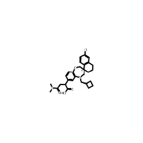 CN(C)C(=O)CC(C(=O)O)c1ccc2c(c1)N(CC1CCC1)C[C@@]1(CCCc3cc(Cl)ccc31)CO2